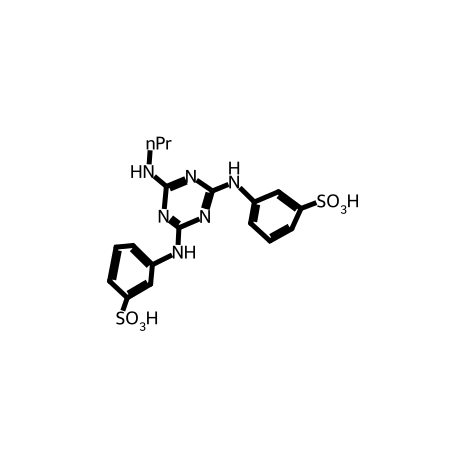 CCCNc1nc(Nc2cccc(S(=O)(=O)O)c2)nc(Nc2cccc(S(=O)(=O)O)c2)n1